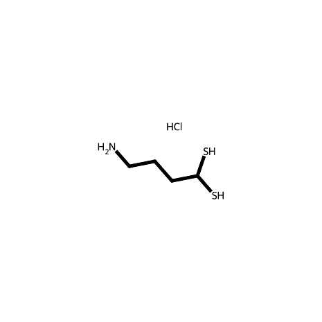 Cl.NCCCC(S)S